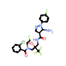 NC1C(C(=O)NCC(O)(CN(CCF)C(=O)c2ccccc2Cl)C(F)(F)F)C=NN1c1ccc(F)cc1